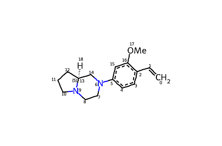 C=Cc1ccc(N2CCN3CCC[C@H]3C2)cc1OC